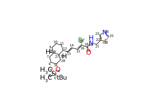 CC(C)(C)[Si](C)(C)O[C@H]1CC[C@@H]2CCC[C@@H](/C=C/C=C(\Br)C(=O)NCc3cncs3)[C@H]2C1